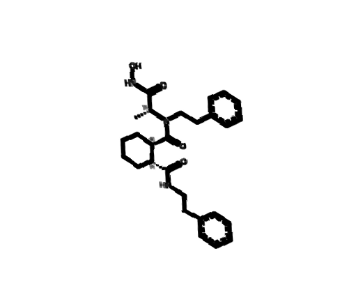 C[C@H](C(=O)NO)N(CCc1ccccc1)C(=O)[C@@H]1CCCC[C@H]1C(=O)NCCc1ccccc1